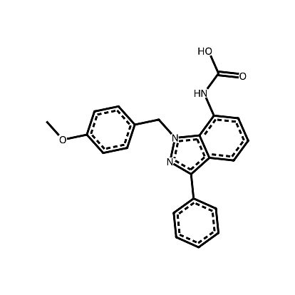 COc1ccc(Cn2nc(-c3ccccc3)c3cccc(NC(=O)O)c32)cc1